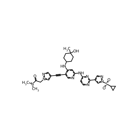 CN(C)C(=O)Cn1cc(C#Cc2cnc(Nc3ccnc(-c4cnn(S(=O)(=O)C5CC5)c4)n3)cc2NC2CCC(C)(O)CC2)cn1